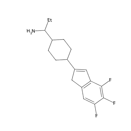 CCC(N)C1CCC(C2=Cc3c(cc(F)c(F)c3F)C2)CC1